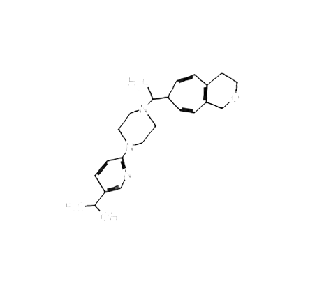 CC(C1C=CC2=C(C=C1)COCC2)N1CCN(c2ccc(C(O)C(F)(F)F)cn2)CC1